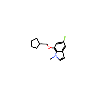 Cn1ccc2cc(F)cc(OCC3CCCC3)c21